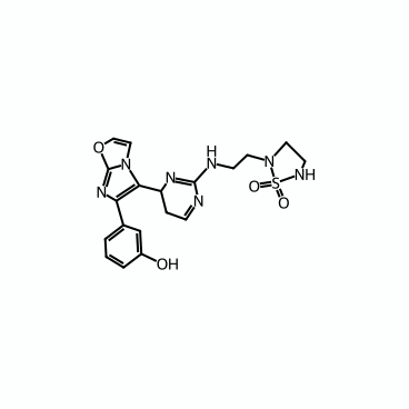 O=S1(=O)NCCN1CCNC1=NC(c2c(-c3cccc(O)c3)nc3occn23)CC=N1